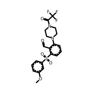 COc1cccc(S(=O)(=O)c2cccc(N3CCN(C(=O)C(F)(F)F)CC3)c2C=O)c1